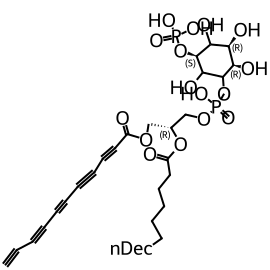 C#CC#CC#CC#CC#CC(=O)OC[C@H](COP(=O)(O)OC1C(O)[C@@H](OP(=O)(O)O)C(O)[C@@H](O)[C@H]1O)OC(=O)CCCCCCCCCCCCCCC